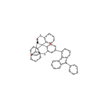 c1ccc(-c2cccc3c2C2(c4ccccc4Sc4cc(-c5cccc6c5c5ccccc5n6-c5ccccc5)ccc42)c2ccccc2S3)cc1